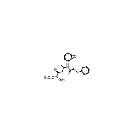 CCOC(=O)C(OC(C)=O)C(=O)CC(C)NC(=O)OCc1ccccc1.c1ccc2c(c1)O2